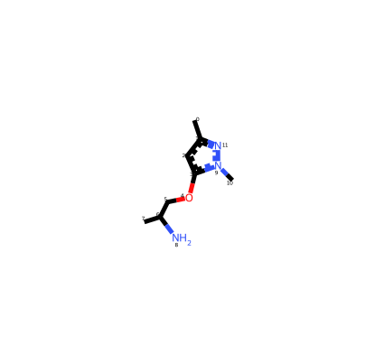 Cc1cc(OCC(C)N)n(C)n1